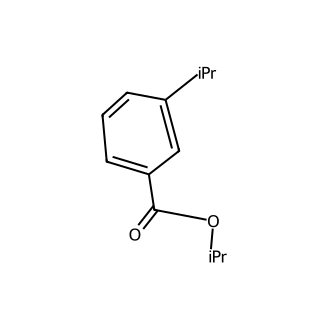 CC(C)OC(=O)c1cccc(C(C)C)c1